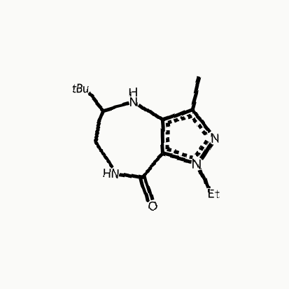 CCn1nc(C)c2c1C(=O)NCC(C(C)(C)C)N2